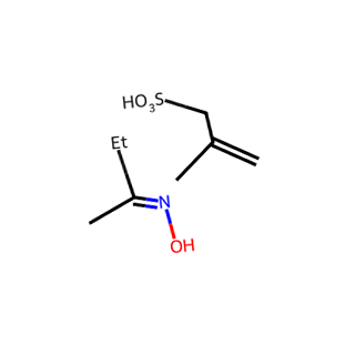 C=C(C)CS(=O)(=O)O.CCC(C)=NO